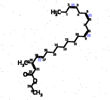 CC/C=C\C/C=C\C/C=C\CCCCCCC/C=C/C(C)=CC(=O)OCC